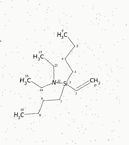 C=C[Si](CCCC)(CCCC)N(CC)CC